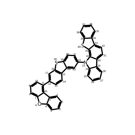 c1ccc2c(c1)oc1cccc(-c3ccc4c(c3)sc3ccc(-n5c6ccccc6c6ccc7c8ccccc8sc7c65)cc34)c12